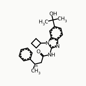 C[C@H](CC(=O)Nc1nc2ccc(C(C)(C)O)cc2n1C1CCC1)c1ccccc1